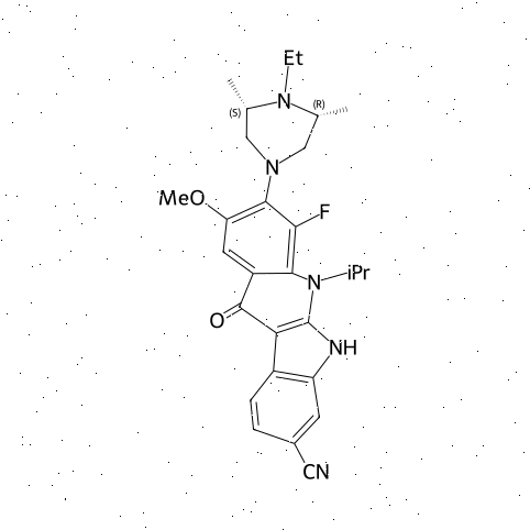 CCN1[C@H](C)CN(c2c(OC)cc3c(=O)c4c5ccc(C#N)cc5[nH]c4n(C(C)C)c3c2F)C[C@@H]1C